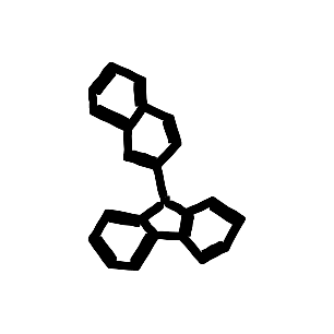 [c]1cccc2c3ccccc3n(-c3ccc4ccccc4c3)c12